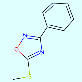 [CH2]Sc1nc(-c2ccccc2)no1